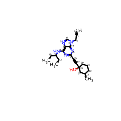 C#CCn1cnc2c(NC(CC)CC)nc(C#CC3(O)CCCC(C)C3)nc21